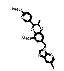 COc1ccc(C2Oc3c(OC)cc(Cn4cnc5cc(I)cnc54)cc3OC2C)cn1